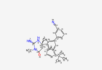 CN1C(=N)N[C@](C)(c2cccc(-c3cccc(C#N)c3)c2)[C@H](c2ccc(C(C)(C)C)cc2)C1=O